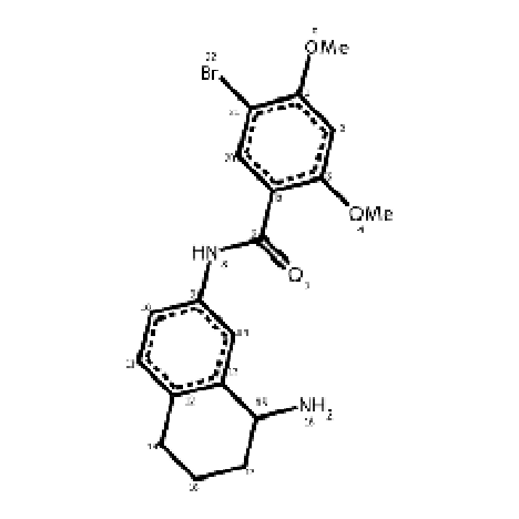 COc1cc(OC)c(C(=O)Nc2ccc3c(c2)C(N)CCC3)cc1Br